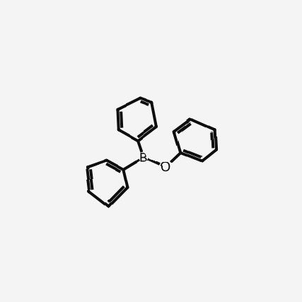 c1ccc(OB(c2ccccc2)c2ccccc2)cc1